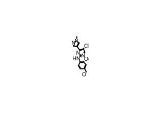 COc1cc(C=O)ccc1Nc1ncc(Cl)c(-c2cnn(C)c2)n1